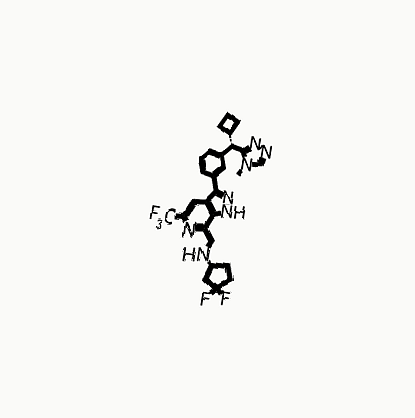 Cn1cnnc1[C@H](c1cccc(-c2n[nH]c3c(CN[C@H]4CCC(F)(F)C4)nc(C(F)(F)F)cc23)c1)C1CCC1